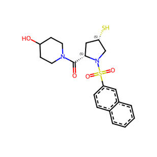 O=C([C@@H]1C[C@H](S)CN1S(=O)(=O)c1ccc2ccccc2c1)N1CCC(O)CC1